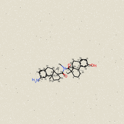 CN(C(=O)[C@@]1(C)CCC[C@]2(C)c3cc(O)ccc3CC[C@@H]12)C(=O)[C@@]1(C)CCC[C@]2(C)c3cc(N)ccc3CC[C@@]12C